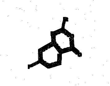 CCc1nc2cc(F)ccc2c(=O)o1